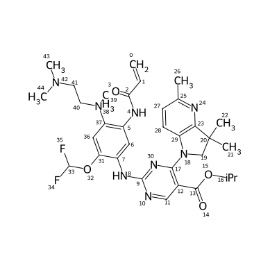 C=CC(=O)Nc1cc(Nc2ncc(C(=O)OC(C)C)c(N3CC(C)(C)c4nc(C)ccc43)n2)c(OC(F)F)cc1N(C)CCN(C)C